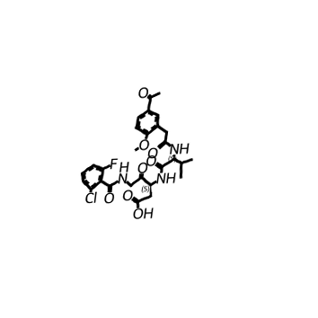 COc1ccc(C(C)=O)cc1CC(=O)N[C@H](C(=O)N[C@@H](CC(=O)O)C(=O)CNC(=O)c1c(F)cccc1Cl)C(C)C